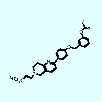 O=C(O)CCN1CCc2nc(-c3ccc(OCc4cccc(OC(F)F)c4)cc3)ccc2C1